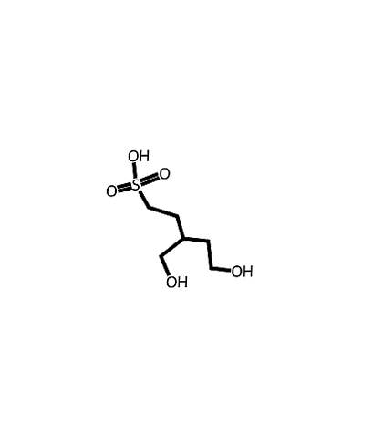 O=S(=O)(O)CCC(CO)CCO